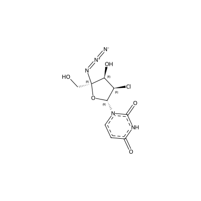 [N-]=[N+]=N[C@]1(CO)O[C@@H](n2ccc(=O)[nH]c2=O)[C@H](Cl)[C@@H]1O